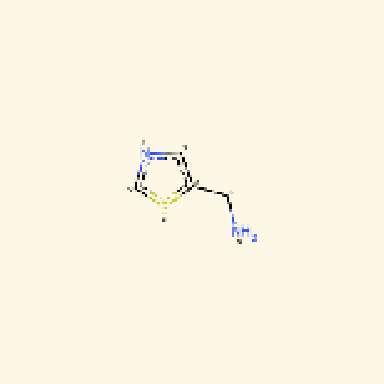 NCc1cn[c]s1